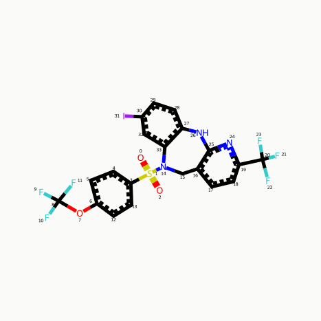 O=S(=O)(c1ccc(OC(F)(F)F)cc1)N1Cc2ccc(C(F)(F)F)nc2Nc2ccc(I)cc21